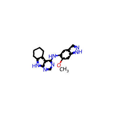 COc1cc2[nH]ncc2cc1Nc1ncnc2[nH]c3c(c12)CCCC3